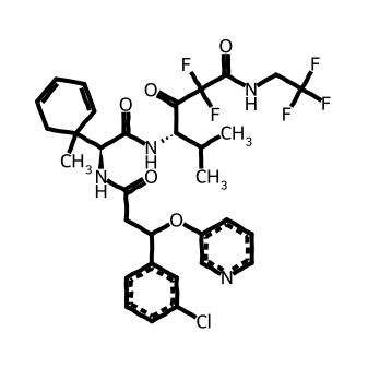 CC(C)[C@H](NC(=O)[C@@H](NC(=O)CC(Oc1cccnc1)c1cccc(Cl)c1)C1(C)C=CC=CC1)C(=O)C(F)(F)C(=O)NCC(F)(F)F